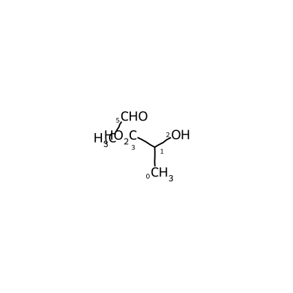 CC(O)C(=O)O.CC=O